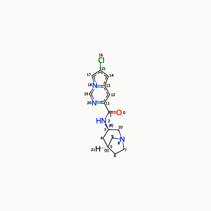 O=C(N[C@@H]1C[C@@H]2CCN(C2)C1)c1cc2cc(Cl)cn2cn1